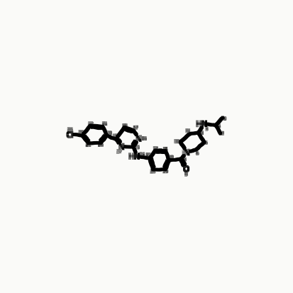 CC(C)NC1CCN(C(=O)c2ccc(Nc3nccc(-c4ccc(Cl)cc4)n3)cc2)CC1